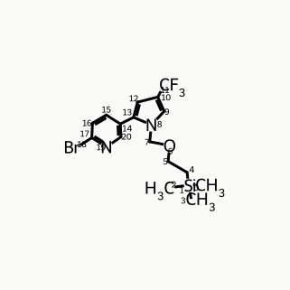 C[Si](C)(C)CCOCn1cc(C(F)(F)F)cc1-c1ccc(Br)nc1